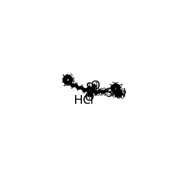 Cl.O=C1SC(=CCCCCc2ccccc2)C(=O)N1CCCCSc1cccc2nccn12